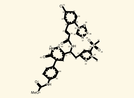 COC(=O)Nc1ccc(-c2cc(C(Cc3cc(S(C)(=O)=O)n(C)n3)NC(=O)C=Cc3cc(Cl)ccc3-n3cnnn3)n[nH]c2=O)cc1